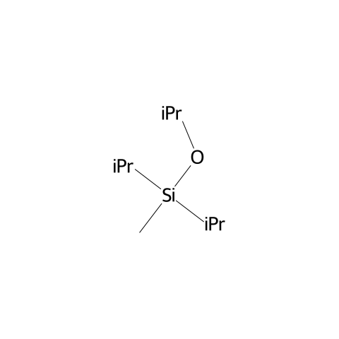 CC(C)O[Si](C)(C(C)C)C(C)C